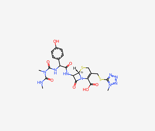 CNC(=O)N(C)C(=O)NC(C(=O)NC1C(=O)N2C(C(=O)O)=C(CSc3nnnn3C)CS[C@@H]12)c1ccc(O)cc1